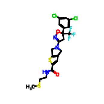 CSCCNC(=O)c1cc2c(s1)CN(C1=NOC(c3cc(Cl)cc(Cl)c3)(C(F)(F)F)C1)C2